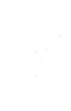 CCN(CC)c1cccc2c1nc1n2C(c2ccc(Cl)cc2Cl)C(CC(=O)O)N1